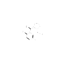 N=C(N1CCC[C@H]1CO)n1cc(F)ccc1=N